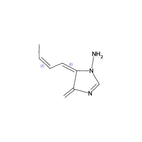 C=c1ncn(N)/c1=C/C=C\C